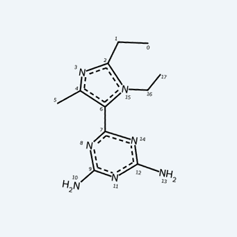 CCc1nc(C)c(-c2nc(N)nc(N)n2)n1CC